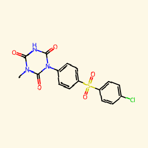 Cn1c(=O)[nH]c(=O)n(-c2ccc(S(=O)(=O)c3ccc(Cl)cc3)cc2)c1=O